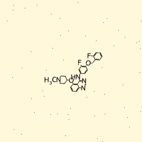 CN1CCC(Oc2cccc3ncnc(Nc4ccc(OCc5ccccc5F)c(F)c4)c23)CC1